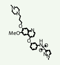 COc1cc2c(Oc3cccc(NS(=O)(=O)c4ccn(C)n4)c3)ccnc2cc1OCCCN1CCN(C)CC1